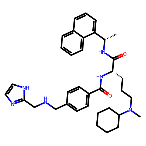 C[C@H](NC(=O)[C@H](CCCN(C)C1CCCCC1)NC(=O)c1ccc(CNCc2ncc[nH]2)cc1)c1cccc2ccccc12